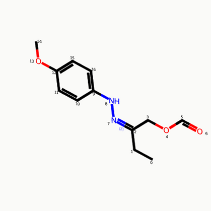 CC/C(COC=O)=N/Nc1ccc(OC)cc1